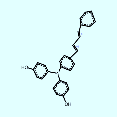 Oc1ccc(N(c2ccc(O)cc2)c2ccc(/C=C/C=C/c3ccccc3)cc2)cc1